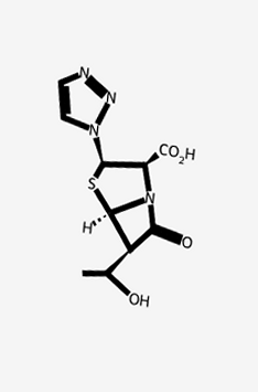 CC(O)[C@@H]1C(=O)N2[C@@H]1S[C@@H](n1ccnn1)[C@H]2C(=O)O